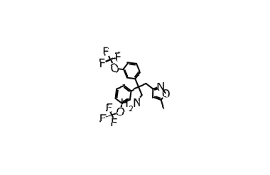 Cc1cc(CC(CN)(c2cccc(OC(F)(F)F)c2)c2cccc(OC(F)(F)F)c2)no1